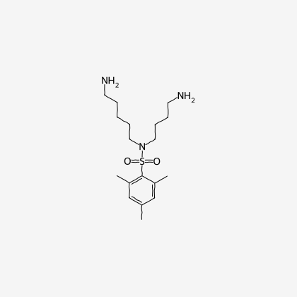 Cc1cc(C)c(S(=O)(=O)N(CCCCN)CCCCCN)c(C)c1